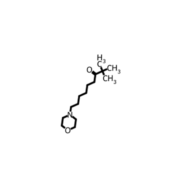 CC(C)(C)C(=O)CCCCCCN1CCOCC1